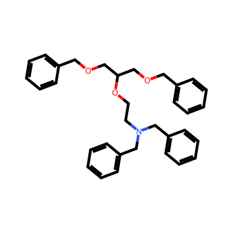 c1ccc(COCC(COCc2ccccc2)OCCN(Cc2ccccc2)Cc2ccccc2)cc1